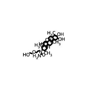 CC1=C(O)C(O)C=C2C1=CC=C1[C@@]2(C)CC[C@@]2(C)[C@@H]3C[C@@H](C)C(N(CCOCCO)C(N)=O)C[C@]3(C)CC[C@]12C